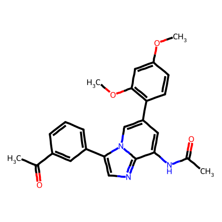 COc1ccc(-c2cc(NC(C)=O)c3ncc(-c4cccc(C(C)=O)c4)n3c2)c(OC)c1